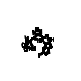 O=S1(=O)NC[C@H](CSc2nonc2/C(=N/O)NC2CCc3ccc(F)cc32)N1